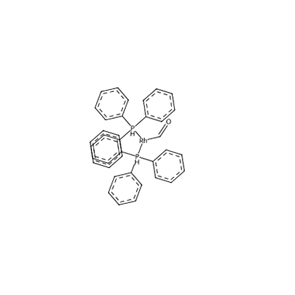 O=[CH][Rh]([PH](c1ccccc1)(c1ccccc1)c1ccccc1)[PH](c1ccccc1)(c1ccccc1)c1ccccc1